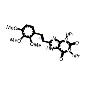 CCCn1c(=O)c2[nH]c(/C=C/c3ccc(OC)c(OC)c3OC)nc2n(CCC)c1=O